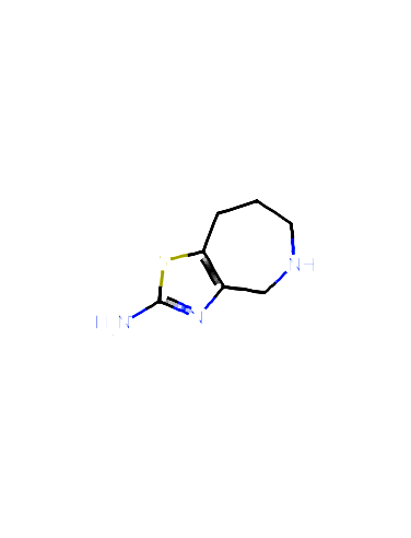 Nc1nc2c(s1)CCCNC2